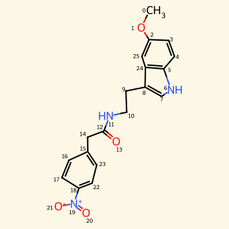 COc1ccc2[nH]cc(CCNC(=O)Cc3ccc([N+](=O)[O-])cc3)c2c1